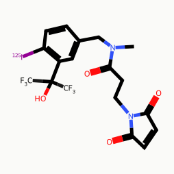 CN(Cc1ccc([125I])c(C(O)(C(F)(F)F)C(F)(F)F)c1)C(=O)CCN1C(=O)C=CC1=O